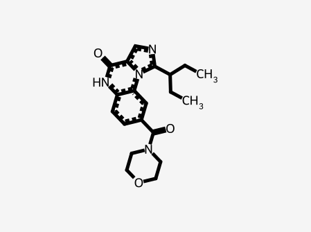 CCC(CC)c1ncc2c(=O)[nH]c3ccc(C(=O)N4CCOCC4)cc3n12